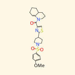 COc1ccc(S(=O)(=O)N2CCC(c3nc(C(=O)N4CCCC5CCCC=C54)cs3)CC2)cc1